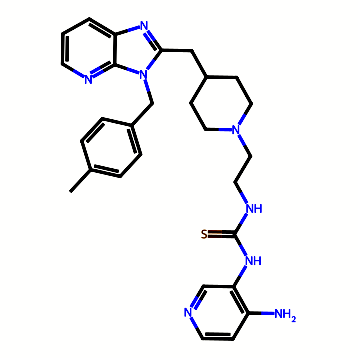 Cc1ccc(Cn2c(CC3CCN(CCNC(=S)Nc4cnccc4N)CC3)nc3cccnc32)cc1